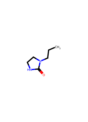 CC[CH]N1CCNC1=O